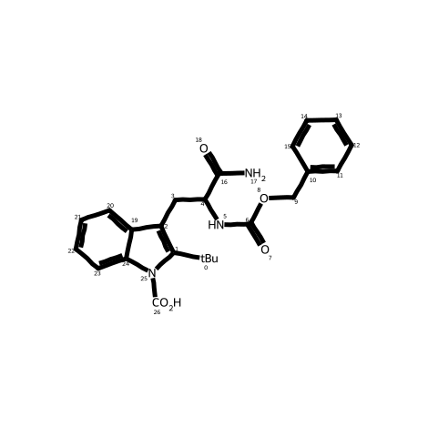 CC(C)(C)c1c(CC(NC(=O)OCc2ccccc2)C(N)=O)c2ccccc2n1C(=O)O